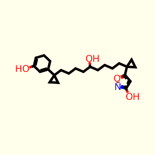 OC1=CCCC(C2(CCCCC(O)CCCCC3(c4cc(O)no4)CC3)CC2)=C1